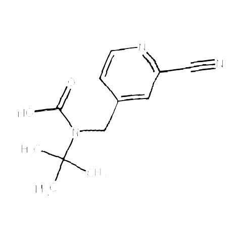 CC(C)(C)N(Cc1ccnc(C#N)c1)C(=O)O